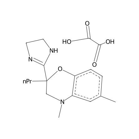 CCCC1(C2=NCCN2)CN(C)c2cc(C)ccc2O1.O=C(O)C(=O)O